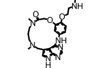 CNCCOc1ccc2cc1OCC(=O)N(C)CCCN(C)Cc1c[nH]c3ncnc(c13)N2